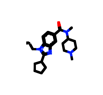 CC(C)Cn1c(C2CCCC2)nc2cc(C(=O)N(C)C3CCN(C)CC3)ccc21